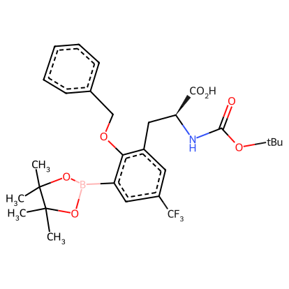 CC(C)(C)OC(=O)N[C@@H](Cc1cc(C(F)(F)F)cc(B2OC(C)(C)C(C)(C)O2)c1OCc1ccccc1)C(=O)O